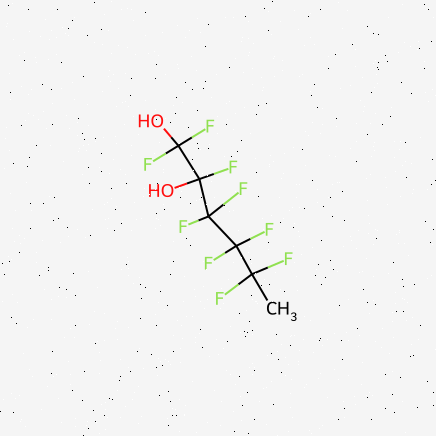 CC(F)(F)C(F)(F)C(F)(F)C(O)(F)C(O)(F)F